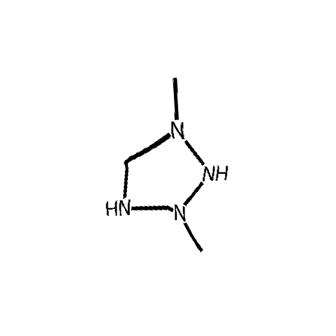 CN1CNN(C)N1